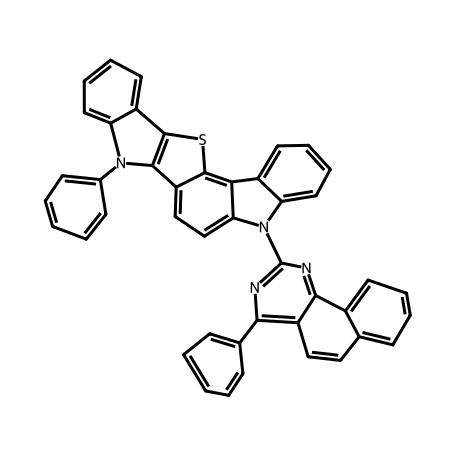 c1ccc(-c2nc(-n3c4ccccc4c4c5sc6c7ccccc7n(-c7ccccc7)c6c5ccc43)nc3c2ccc2ccccc23)cc1